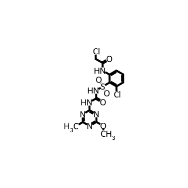 COc1nc(C)nc(NC(=O)NS(=O)(=O)c2c(Cl)cccc2NC(=O)CCl)n1